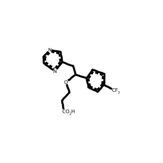 O=C(O)CCOC(Cc1cnccn1)c1ccc(C(F)(F)F)cc1